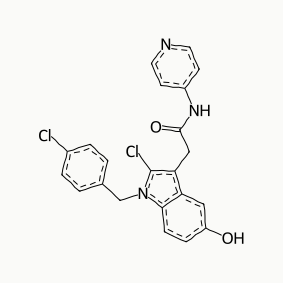 O=C(Cc1c(Cl)n(Cc2ccc(Cl)cc2)c2ccc(O)cc12)Nc1ccncc1